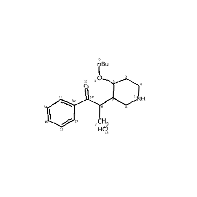 CCCCOC1CCNCC1C(C)C(=O)c1ccccc1.Cl